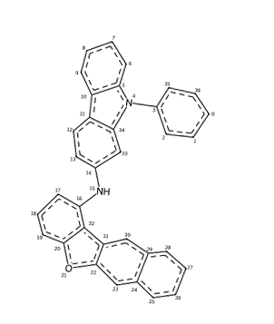 c1ccc(-n2c3ccccc3c3ccc(Nc4cccc5oc6cc7ccccc7cc6c45)cc32)cc1